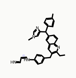 CCc1nc2ccc(C(c3ccc(C)cc3)c3cn(C)cn3)cc2cc1Cc1ccc(N/C=C\C=N)cc1